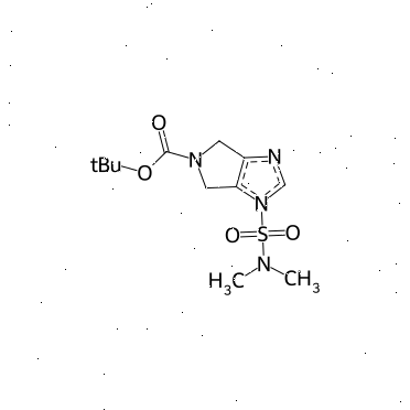 CN(C)S(=O)(=O)n1cnc2c1CN(C(=O)OC(C)(C)C)C2